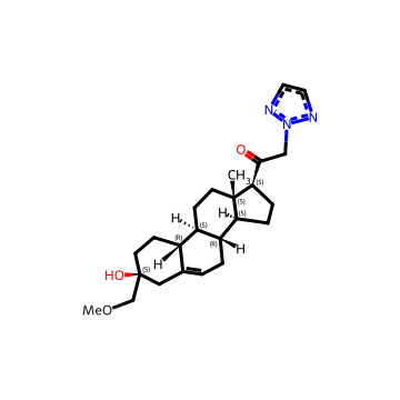 COC[C@]1(O)CC[C@H]2C(=CC[C@@H]3[C@@H]2CC[C@]2(C)[C@@H](C(=O)Cn4nccn4)CC[C@@H]32)C1